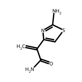 C=C(C(N)=O)c1csc(N)n1